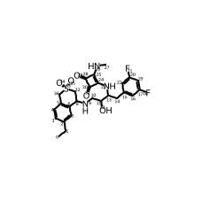 CCc1ccc2c(c1)C(NCC(O)C(Cc1cc(F)cc(F)c1)Nc1c(NC)c(=O)c1=O)CS(=O)(=O)C2